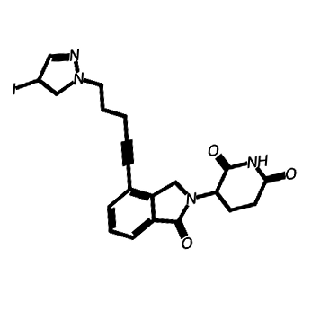 O=C1CCC(N2Cc3c(C#CCCCN4CC(I)C=N4)cccc3C2=O)C(=O)N1